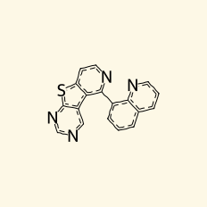 c1cnc2c(-c3nccc4sc5ncncc5c34)cccc2c1